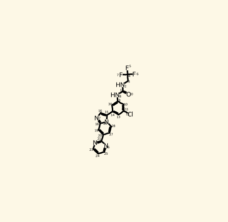 O=C(NCC(F)(F)F)Nc1cc(Cl)cc(-c2cnc3cc(-c4ncccn4)ccn23)c1